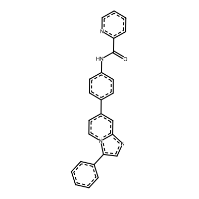 O=C(Nc1ccc(-c2ccn3c(-c4ccccc4)cnc3c2)cc1)c1ccccn1